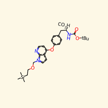 CC(C)(C)OC(=O)N[C@@H](Cc1ccc(Oc2ccnc3c2ccn3COCC[Si](C)(C)C)cc1)C(=O)O